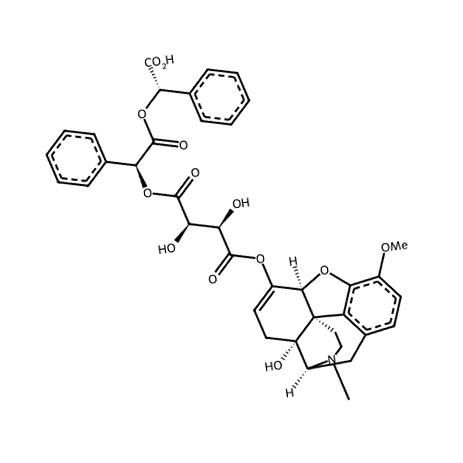 COc1ccc2c3c1O[C@@H]1C(OC(=O)[C@H](O)[C@@H](O)C(=O)O[C@H](C(=O)O[C@H](C(=O)O)c4ccccc4)c4ccccc4)=CC[C@]4(O)[C@H](C2)N(C)CC[C@@]314